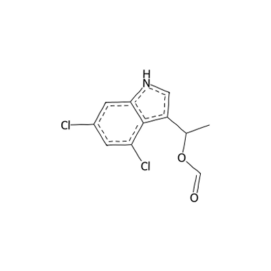 CC(OC=O)c1c[nH]c2cc(Cl)cc(Cl)c12